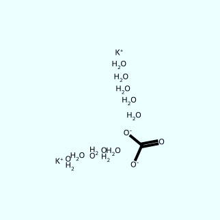 O.O.O.O.O.O.O.O.O.O.O=C([O-])[O-].[K+].[K+]